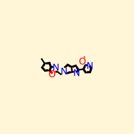 COc1ncccc1-c1cc2ccn(Cc3nc4cc(C)ccc4o3)cc-2n1